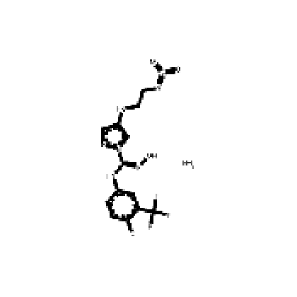 N.O=S(=O)=NCCNc1cnn(C(=NO)Nc2ccc(F)c(C(F)(F)F)c2)c1